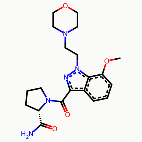 COc1cccc2c(C(=O)N3CCC[C@H]3C(N)=O)nn(CCN3CCOCC3)c12